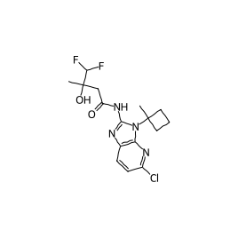 CC(O)(CC(=O)Nc1nc2ccc(Cl)nc2n1C1(C)CCC1)C(F)F